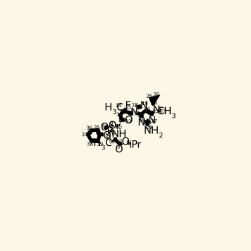 CC(C)OC(=O)[C@@H](C)NP(=O)(OC[C@@H]1C[C@@](C)(F)[C@H](n2cnc3c(N(C)C4CC4)nc(N)nc32)O1)Oc1ccccc1